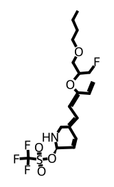 C=C/C(=C\C=C1\C=C[C@@H](OS(=O)(=O)C(F)(F)F)NC1)OC(CF)COCCCC